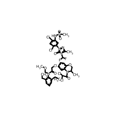 CC1COc2ccccc2N1C(=O)C(Cl)Cl.CCc1cccc(CC)c1N(COC)C(=O)CCl.Cc1nn(-c2cc(NS(C)(=O)=O)c(Cl)cc2Cl)c(=O)n1C(F)F